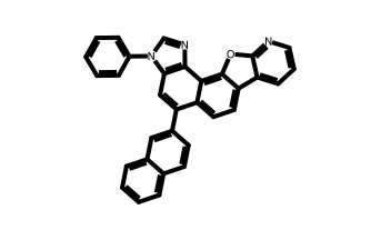 c1ccc(-n2cnc3c4c(ccc5c6cccnc6oc54)c(-c4ccc5ccccc5c4)cc32)cc1